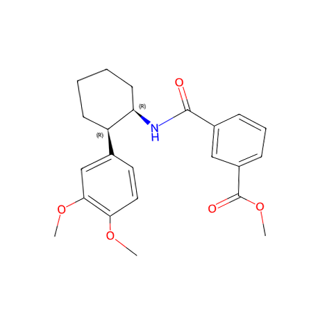 COC(=O)c1cccc(C(=O)N[C@@H]2CCCC[C@@H]2c2ccc(OC)c(OC)c2)c1